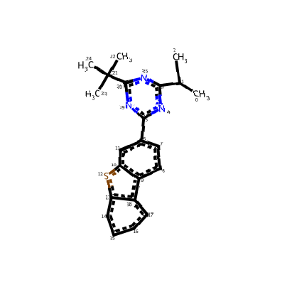 CC(C)c1nc(-c2ccc3c(c2)sc2ccccc23)nc(C(C)(C)C)n1